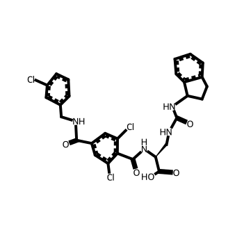 O=C(NC[C@H](NC(=O)c1c(Cl)cc(C(=O)NCc2cccc(Cl)c2)cc1Cl)C(=O)O)NC1CCc2ccccc21